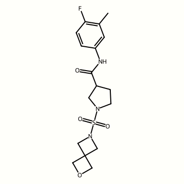 Cc1cc(NC(=O)C2CCN(S(=O)(=O)N3CC4(COC4)C3)C2)ccc1F